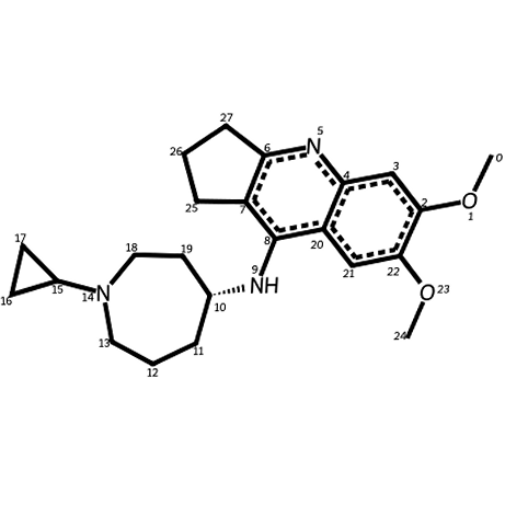 COc1cc2nc3c(c(N[C@@H]4CCCN(C5CC5)CC4)c2cc1OC)CCC3